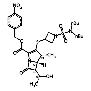 CCCCN(CCCC)S(=O)(=O)N1CC(SC2=C(C(=O)OCc3ccc([N+](=O)[O-])cc3)N3C(=O)[C@H]([C@@H](C)O)[C@H]3[C@H]2C)C1